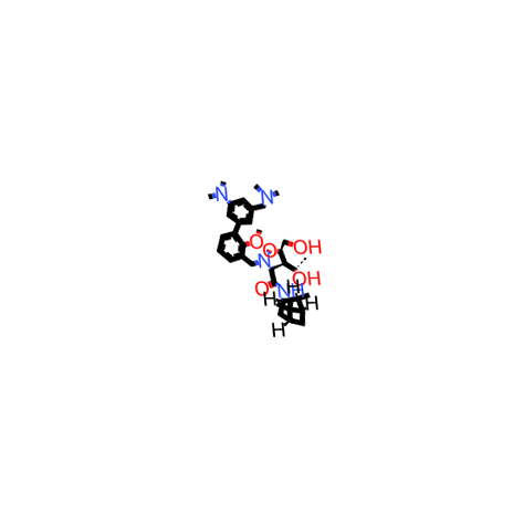 COc1c(CN2O[C@@H](CO)[C@@H]([C@H](C)O)C2C(=O)N[C@H]2C[C@H]3C[C@@H]([C@@H]2C)C3(C)C)cccc1-c1cc(CN(C)C)cc(N(C)C)c1